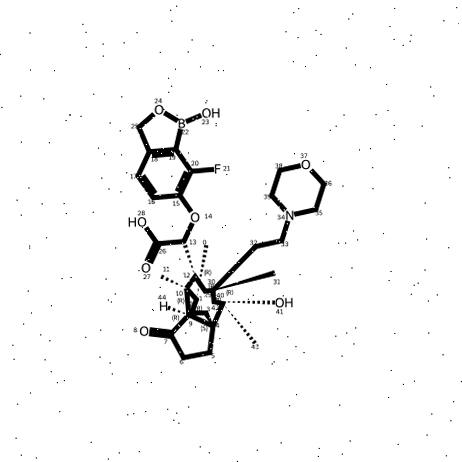 C[C@@H]1CC[C@@]23CCC(=O)[C@H]2[C@@]1(C)[C@H](C(Oc1ccc2c(c1F)B(O)OC2)C(=O)O)C[C@](C)(CCN1CCOCC1)[C@@H](O)[C@@H]3C